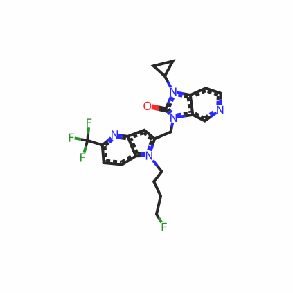 O=c1n(Cc2cc3nc(C(F)(F)F)ccc3n2CCCCF)c2cnccc2n1C1CC1